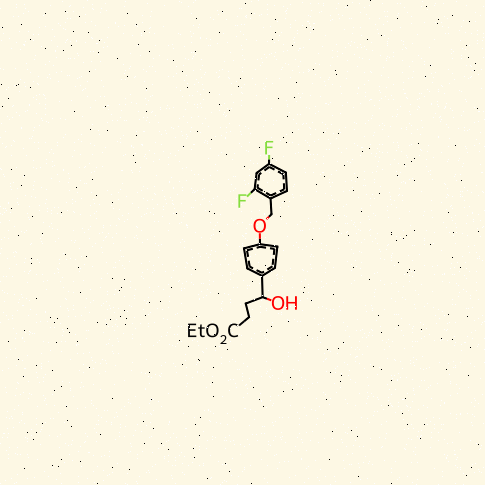 CCOC(=O)CCC(O)c1ccc(OCc2ccc(F)cc2F)cc1